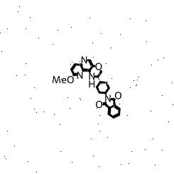 COc1ccc2ncc3c(c2n1)NC([C@H]1CC[C@H](N2C(=O)c4ccccc4C2=O)CC1)CO3